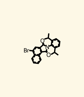 CC(C)c1cccc(C(C)C)c1N1C(=O)c2cc(Br)c3ccccc3c2C1=O